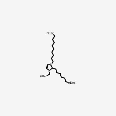 CCCCCCCCCCCCCCCCCCCN1C=CN(CCCCCCCCCCC)C1CCCCCCCCCCCCCCCC